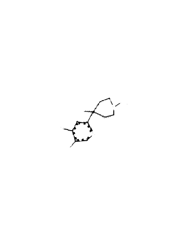 CN1CCC(F)(c2cc(N)c(Cl)cn2)CC1